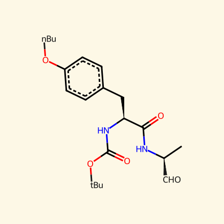 CCCCOc1ccc(C[C@H](NC(=O)OC(C)(C)C)C(=O)N[C@@H](C)C=O)cc1